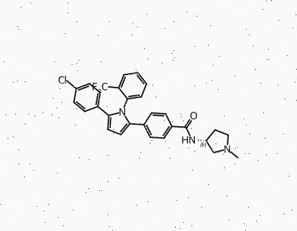 CN1CC[C@@H](NC(=O)c2ccc(-c3ccc(-c4ccc(Cl)cc4)n3-c3ccccc3C(F)(F)F)cc2)C1